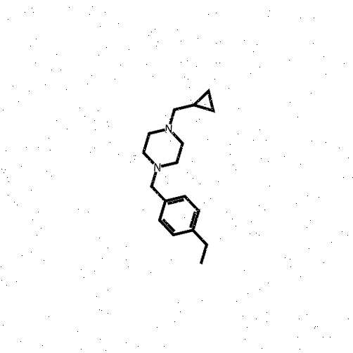 CCc1ccc(CN2CCN(CC3CC3)CC2)cc1